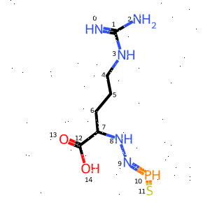 N=C(N)NCCCC(NN=[PH]=S)C(=O)O